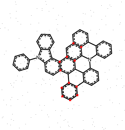 c1ccc(-c2ccccc2-c2c(-c3ccccc3)cccc2N(c2cccc(-c3cccc4c3c3ccccc3n4-c3ccccc3)c2)c2ccccc2-c2ccccc2)cc1